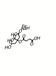 O=C(O)CCC(=O)OC(CC(=O)O)(CC(=O)O)C(=O)O.[Fe].[NaH]